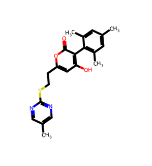 Cc1cnc(SCCc2cc(O)c(-c3c(C)cc(C)cc3C)c(=O)o2)nc1